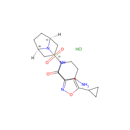 Cl.NC1CCC(S(=O)(=O)N2[C@@H]3CC[C@H]2C[C@H](NC(=O)c2cc(C4CC4)on2)C3)CC1